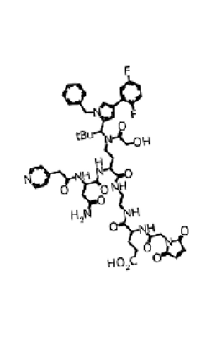 CC(C)(C)C(c1cc(-c2cc(F)ccc2F)cn1Cc1ccccc1)N(CCC(NC(=O)C(CC(N)=O)NC(=O)Cc1ccncc1)C(=O)NCCNC(=O)C(CCC(=O)O)NC(=O)CN1C(=O)C=CC1=O)C(=O)CO